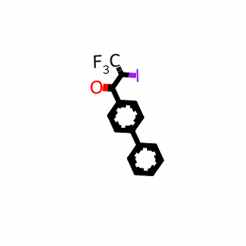 O=C(c1ccc(-c2ccccc2)cc1)C(I)C(F)(F)F